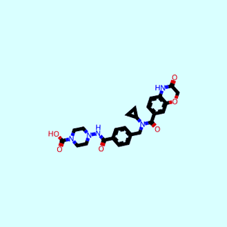 O=C1COc2cc(C(=O)N(Cc3ccc(C(=O)NN4CCN(C(=O)O)CC4)cc3)C3CC3)ccc2N1